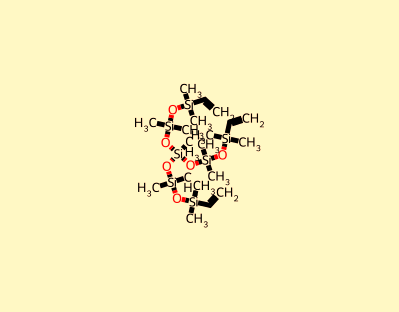 C=C[Si](C)(C)O[Si](C)(C)O[Si](C)(O[Si](C)(C)O[Si](C)(C)C=C)O[Si](C)(C)O[Si](C)(C)C=C